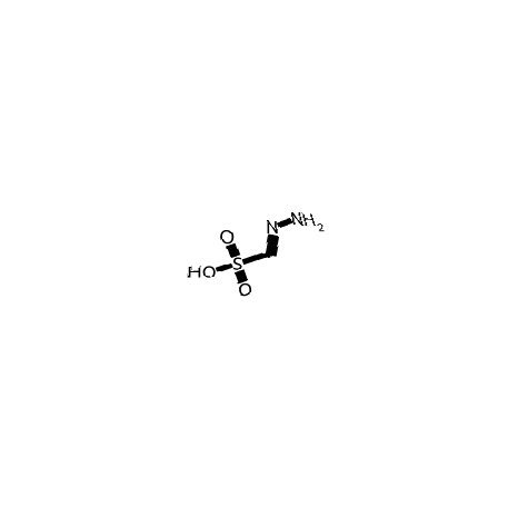 NN=CS(=O)(=O)O